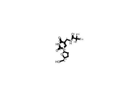 O=C(NCc1cn([C@H]2CC[C@@H](CO)O2)c(=O)[nH]c1=O)C(F)(F)F